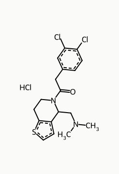 CN(C)CC1c2ccsc2CCN1C(=O)Cc1ccc(Cl)c(Cl)c1.Cl